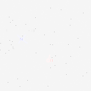 CC[N+](C)(C)CCC(O)C1CCCCC1